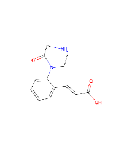 O=C(O)/C=C/c1ccccc1N1CCNCC1=O